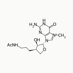 CC(=O)NCCC[C@@H]1CO[C@@H](n2c[n+](C)c3c(=O)[nH]c(N)nc32)[C@@H]1O